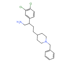 NCC(CCC1CCN(Cc2ccccc2)CC1)c1ccc(Cl)c(Cl)c1